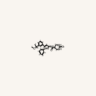 COC(C)(C)c1cccc(-c2cc(NC(=O)C3CNC(=O)NC3)nn2-c2ccccc2)c1